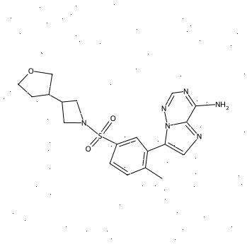 Cc1ccc(S(=O)(=O)N2CC(C3CCOC3)C2)cc1-c1cnc2c(N)ncnn12